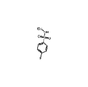 CC(C)(C)NS(=O)(=O)c1ccc(F)cc1